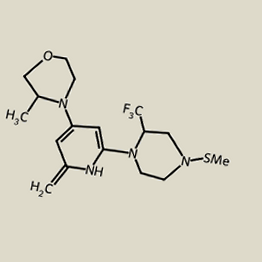 C=C1C=C(N2CCOCC2C)C=C(N2CCN(SC)CC2C(F)(F)F)N1